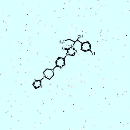 CCC(C(O)c1ccc(Cl)cc1)n1ncn(-c2ccc(N3CCN(c4nccs4)CC3)nc2)c1=O